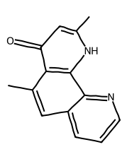 Cc1cc(=O)c2c(C)cc3cccnc3c2[nH]1